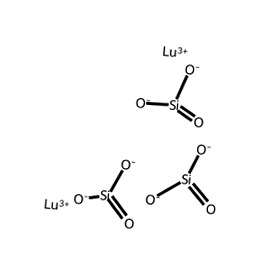 O=[Si]([O-])[O-].O=[Si]([O-])[O-].O=[Si]([O-])[O-].[Lu+3].[Lu+3]